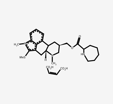 CSc1c2c3c(cccc3n1C)C1C[C@@H](COC(=O)C3CCCCCN3)CN(C)[C@@H]1C2.O=C(O)/C=C\C(=O)O